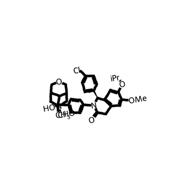 COc1cc2c(cc1OC(C)C)[C@H](c1ccc(Cl)cc1)N(c1ccc(C(C)(O)C3C4COCC3CN(C=O)C4)cc1)C(=O)C2